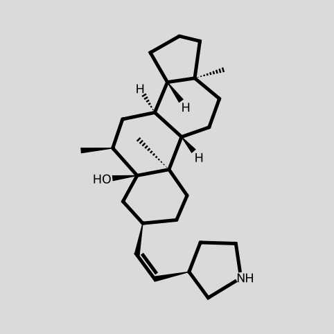 C[C@H]1C[C@H]2[C@@H]3CCC[C@@]3(C)CC[C@@H]2[C@@]2(C)CC[C@@H](/C=C\[C@H]3CCNC3)C[C@]12O